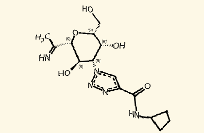 CC(=N)[C@@H]1O[C@H](CO)[C@H](O)[C@H](n2cc(C(=O)NC3CCC3)nn2)[C@H]1O